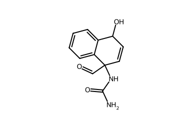 NC(=O)NC1(C=O)C=CC(O)c2ccccc21